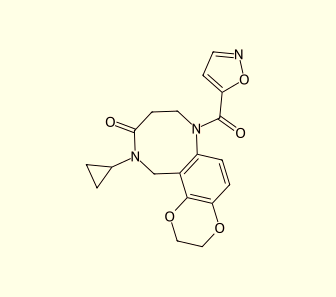 O=C(c1ccno1)N1CCC(=O)N(C2CC2)Cc2c1ccc1c2OCCO1